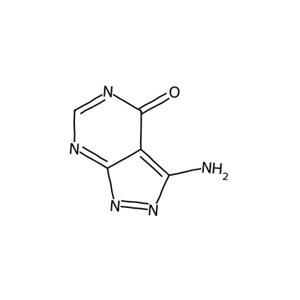 NC1=C2C(=O)N=CN=C2N=N1